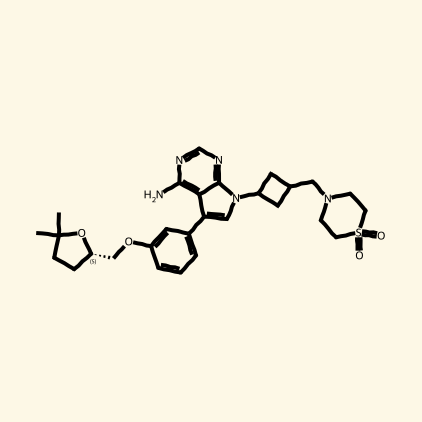 CC1(C)CC[C@@H](COc2cccc(-c3cn(C4CC(CN5CCS(=O)(=O)CC5)C4)c4ncnc(N)c34)c2)O1